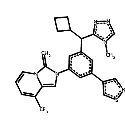 C=C1N2C=CC=C(C(F)(F)F)C2=CN1c1cc(-c2cnsc2)cc(C(c2nncn2C)C2CCC2)c1